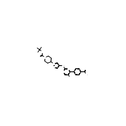 CC(C)(C)OC(=O)N1CCC(n2cc(Nc3ncc(Cl)c(-c4ccc(C(=O)O)cc4)n3)cn2)CC1